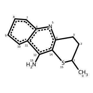 CC1CCc2nc3ccccc3c(N)c2S1